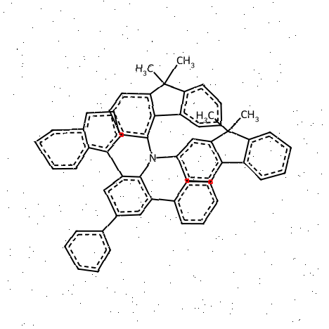 CC1(C)c2ccccc2-c2ccc(N(c3cccc4c3-c3ccccc3C4(C)C)c3c(-c4ccccc4)cc(-c4ccccc4)cc3-c3cccc4ccccc34)cc21